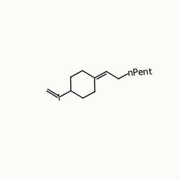 C=IC1CCC(=CCCCCCC)CC1